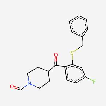 O=CN1CCC(C(=O)c2ccc(F)cc2SCc2ccccc2)CC1